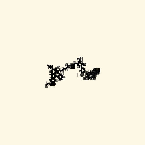 CC/N=c1\cc2oc3cc(NCC)c(C)cc3c(-c3ccccc3C(=O)N(C)CCCC(=O)NC/C=C/c3cn([C@@H]4C[C@H](COP(=O)(O)OP(=O)(O)OP(=O)(O)O)[C@@H](O)C4)c(=O)[nH]c3=O)c-2cc1C